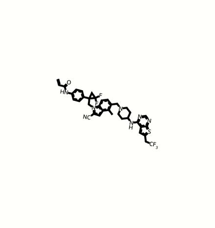 C=CC(=O)Nc1ccc(C2(Cn3c(C#N)cc4c(C)c(CN5CCC(Nc6ncnc7sc(CC(F)(F)F)cc67)CC5)ccc43)CC2(F)F)cc1